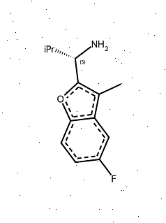 Cc1c([C@@H](N)C(C)C)oc2ccc(F)cc12